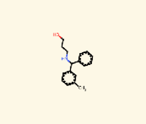 Cc1cccc(C(NCCCO)c2ccccc2)c1